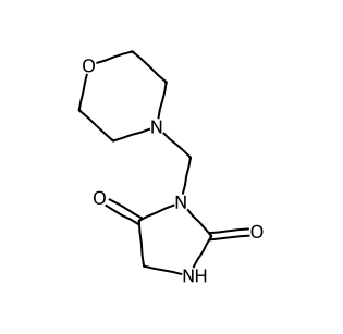 O=C1CNC(=O)N1CN1CCOCC1